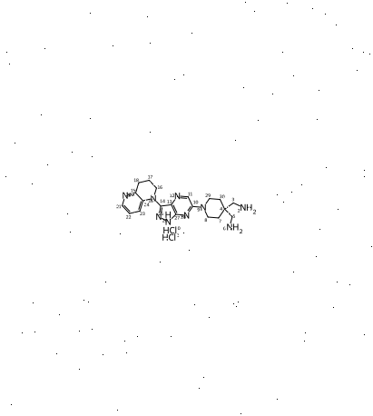 Cl.Cl.NCC1(CN)CCN(c2cnc3c(N4CCCc5ncccc54)n[nH]c3n2)CC1